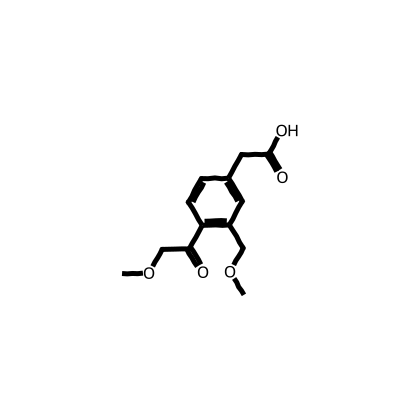 COCC(=O)c1ccc(CC(=O)O)cc1COC